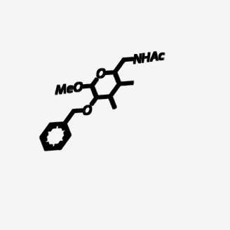 COC1OC(CNC(C)=O)C(C)C(C)C1OCc1ccccc1